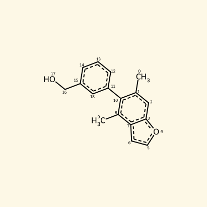 Cc1cc2occc2c(C)c1-c1cccc(CO)c1